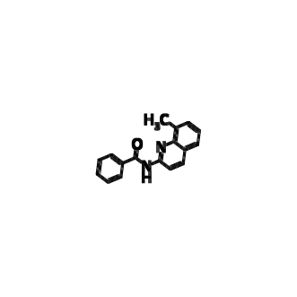 Cc1cccc2ccc(NC(=O)c3ccccc3)nc12